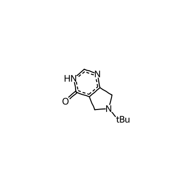 CC(C)(C)N1Cc2nc[nH]c(=O)c2C1